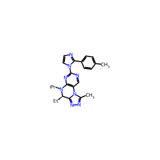 CC[C@@H]1c2nnc(C)n2-c2cnc(-n3ccnc3-c3ccc(C)cc3)nc2N1C(C)C